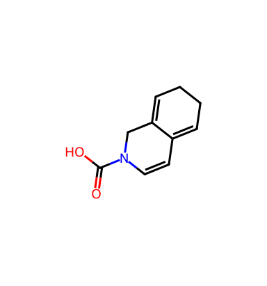 O=C(O)N1C=CC2=CCCC=C2C1